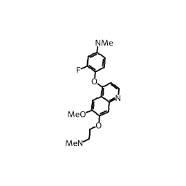 CNCCOc1cc2nccc(Oc3ccc(NC)cc3F)c2cc1OC